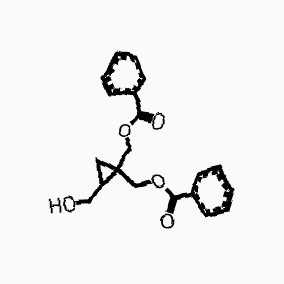 O=C(OCC1(COC(=O)c2ccccc2)CC1CO)c1ccccc1